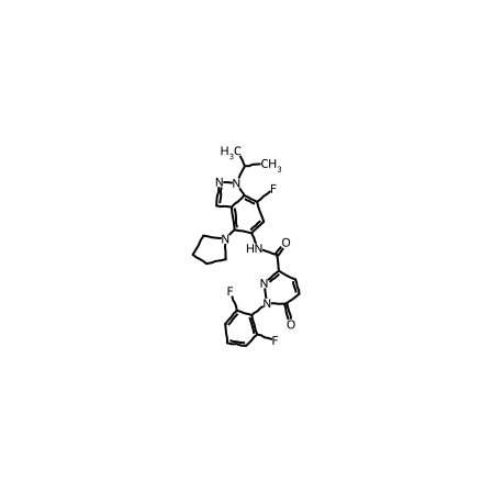 CC(C)n1ncc2c(N3CCCC3)c(NC(=O)c3ccc(=O)n(-c4c(F)cccc4F)n3)cc(F)c21